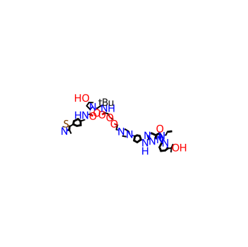 C=CCn1c(=O)c2cnc(Nc3ccc(N4CCN(CCOCOCC(=O)N[C@H](C(=O)N5C[C@H](O)C[C@H]5C(=O)NCc5ccc(-c6scnc6C)cc5)C(C)(C)C)CC4)cc3)nc2n1-c1cccc(C(C)(C)O)n1